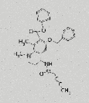 CCCC[S+]([O-])NC1CCN(C)c2c1cc(OCc1ccccc1)c(C(=O)Oc1ccccc1)c2C